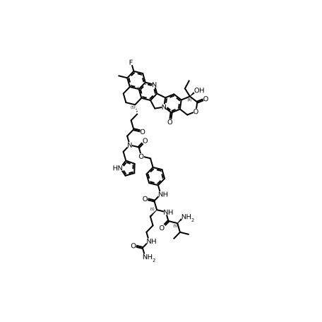 CC[C@]1(O)C(=O)OCc2c1cc1n(c2=O)Cc2c-1nc1cc(F)c(C)c3c1c2[C@H](CCC(=O)CN(Cc1ccc[nH]1)C(=O)OCc1ccc(NC(=O)[C@H](CCCNC(N)=O)NC(=O)[C@@H](N)C(C)C)cc1)CC3